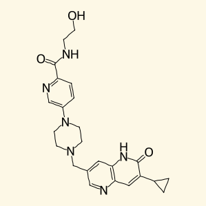 O=C(NCCO)c1ccc(N2CCN(Cc3cnc4cc(C5CC5)c(=O)[nH]c4c3)CC2)cn1